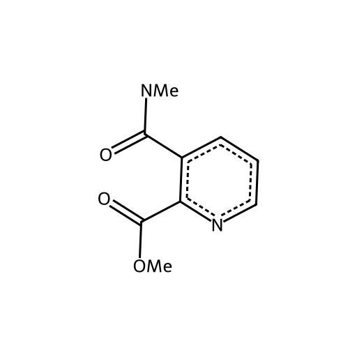 CNC(=O)c1cccnc1C(=O)OC